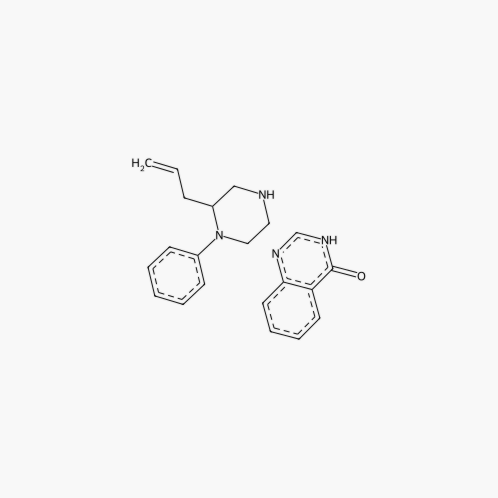 C=CCC1CNCCN1c1ccccc1.O=c1[nH]cnc2ccccc12